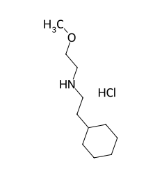 COCCNCCC1CCCCC1.Cl